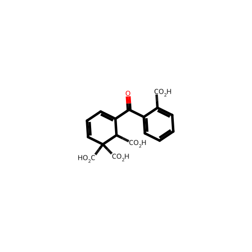 O=C(O)c1ccccc1C(=O)C1=CC=CC(C(=O)O)(C(=O)O)C1C(=O)O